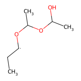 CC[CH]OC(C)OC(C)O